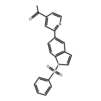 CC(=O)c1ccnc(-c2ccc3c(ccn3S(=O)(=O)c3ccccc3)c2)c1